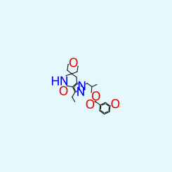 CCc1nn(CC(C)COC(=O)c2cccc(OC)c2)c2c1C(=O)NCC1(CCOCC1)C2